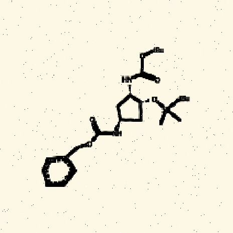 CC(C)(C)OC(=O)N[C@H]1C[C@H](NC(=O)OCc2ccccc2)C[C@H]1O[Si](C)(C)C(C)(C)C